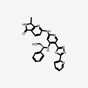 CC1NC(=O)c2ccc(Nc3cc(N[C@H](CO)c4ccccc4)c(-c4nnc(-c5ccccn5)o4)cn3)nc21